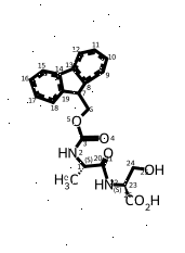 C[C@H](NC(=O)OCC1c2ccccc2-c2ccccc21)C(=O)N[C@@H](CO)C(=O)O